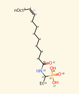 CCCCCCCC/C=C\CCCCCCCC(=O)NC(CC)P(=O)(O)O